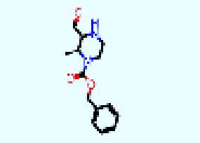 C[C@H]1C(C=O)NCCN1C(=O)OCc1ccccc1